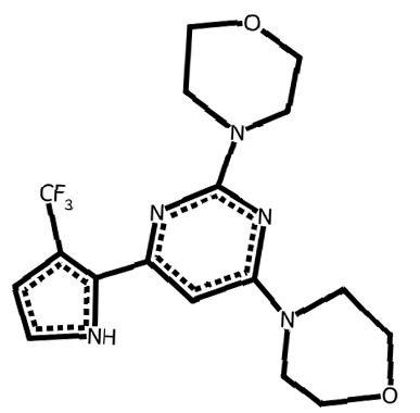 FC(F)(F)c1cc[nH]c1-c1cc(N2CCOCC2)nc(N2CCOCC2)n1